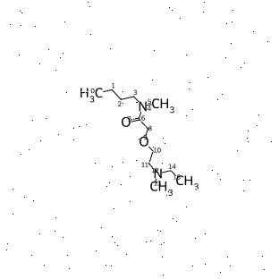 CCCCN(C)C(=O)COCCN(C)CC